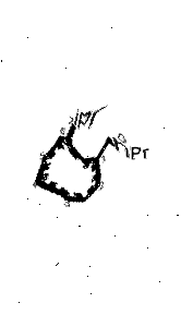 [CH2]CCc1ccccc1C(C)C